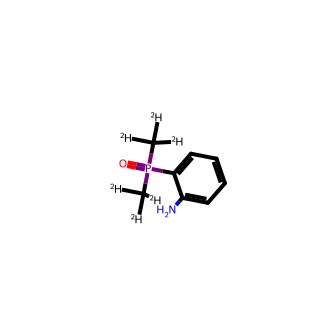 [2H]C([2H])([2H])P(=O)(c1ccccc1N)C([2H])([2H])[2H]